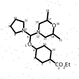 CCOC(=O)C1CCC(OC(N2CCCC2)N2CC(C)OC(C)C2)CC1